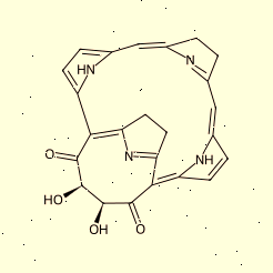 O=C1c2c3nc(c(c4ccc(cc5nc(cc6ccc2[nH]6)CC5)[nH]4)C(=O)[C@H](O)[C@@H]1O)CC3